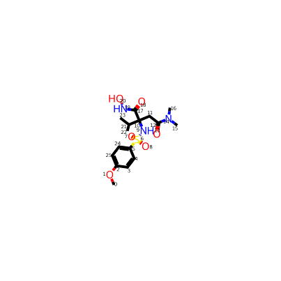 COc1ccc(S(=O)(=O)NC(CC(=O)N(C)C)(C(=O)NO)C(C)C)cc1